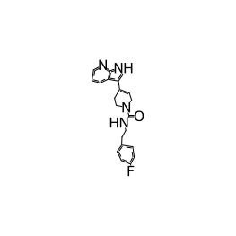 O=C(NCCc1ccc(F)cc1)N1CC=C(c2c[nH]c3ncccc23)CC1